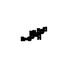 Fc1cc(Cl)ccc1NCOc1ncnc2cc(OCCBr)ccc12